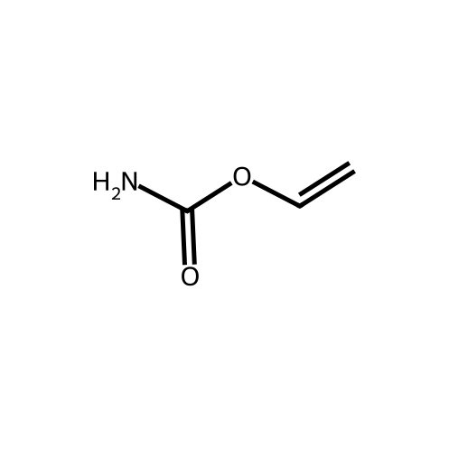 C=COC(N)=O